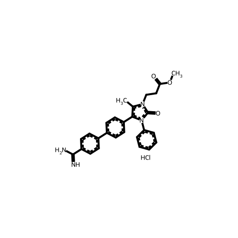 COC(=O)CCn1c(C)c(-c2ccc(-c3ccc(C(=N)N)cc3)cc2)n(-c2ccccc2)c1=O.Cl